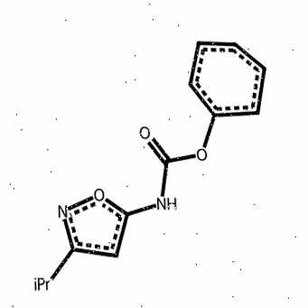 CC(C)c1cc(NC(=O)Oc2ccccc2)on1